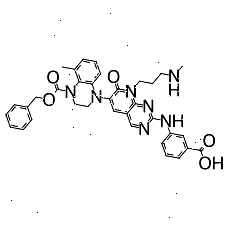 CNCCCn1c(=O)c(N2CCN(C(=O)OCc3ccccc3)c3c(C)cccc32)cc2cnc(Nc3cccc(C(=O)O)c3)nc21